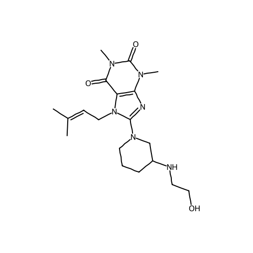 CC(C)=CCn1c(N2CCCC(NCCO)C2)nc2c1c(=O)n(C)c(=O)n2C